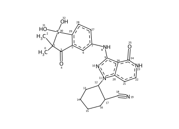 CC1(C)C(=O)c2cc(Nc3nn(C4CCCCC4C#N)c4cc[nH]c(=O)c34)ccc2S1(O)O